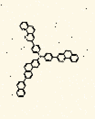 c1ccc2cc(-c3ccc4c(ccc5cc(N(c6ccc(-c7cnc8c(ccc9ccccc98)c7)cc6)c6ccc(-c7cnc8c(ccc9ccccc98)c7)cc6)ccc54)c3)ccc2c1